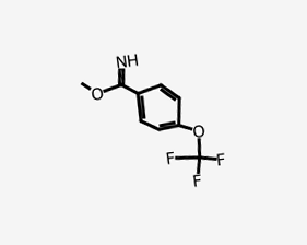 COC(=N)c1ccc(OC(F)(F)F)cc1